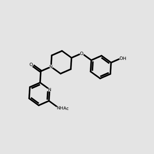 CC(=O)Nc1cccc(C(=O)N2CCC(Oc3cccc(O)c3)CC2)n1